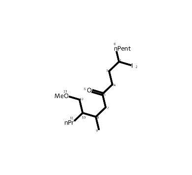 CCCCCC(I)CCC(=O)CC(C)C(CCC)COC